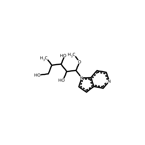 COC(C(O)C(O)C(C)CO)n1ccc2cnccc21